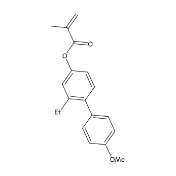 C=C(C)C(=O)Oc1ccc(-c2ccc(OC)cc2)c(CC)c1